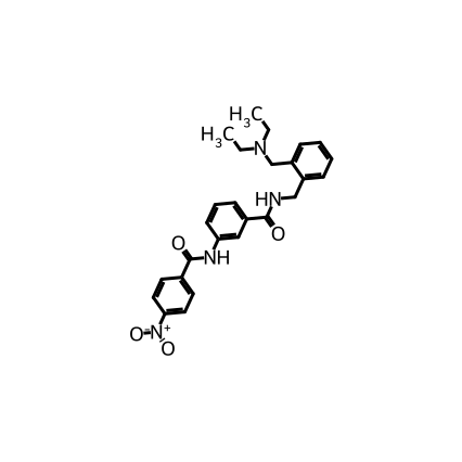 CCN(CC)Cc1ccccc1CNC(=O)c1cccc(NC(=O)c2ccc([N+](=O)[O-])cc2)c1